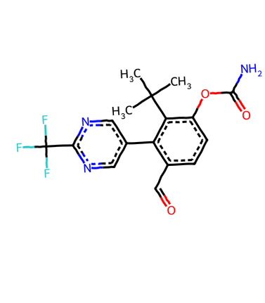 CC(C)(C)c1c(OC(N)=O)ccc(C=O)c1-c1cnc(C(F)(F)F)nc1